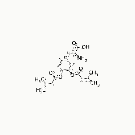 CC(C)CC(=O)Oc1ccc(C[C@H](N)C(=O)O)cc1OC(=O)CC(C)C